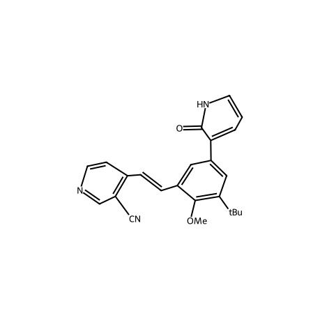 COc1c(C=Cc2ccncc2C#N)cc(-c2ccc[nH]c2=O)cc1C(C)(C)C